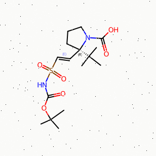 CC(C)(C)OC(=O)NS(=O)(=O)/C=C/[C@@]1(C(C)(C)C)CCCN1C(=O)O